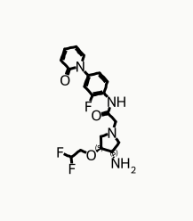 N[C@H]1CN(CC(=O)Nc2ccc(-n3ccccc3=O)cc2F)C[C@@H]1OCC(F)F